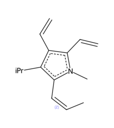 C=Cc1c(C(C)C)c(/C=C\C)n(C)c1C=C